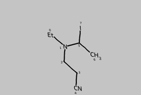 CCN(CCC#N)C(C)I